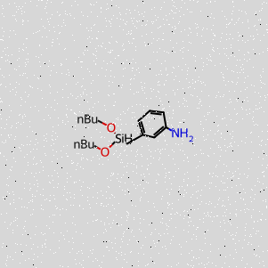 CCCCO[SiH](Cc1cccc(N)c1)OCCCC